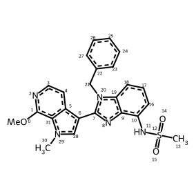 COc1nccc2c(-c3nc4c(NS(C)(=O)=O)cccc4n3Cc3ccccc3)cn(C)c12